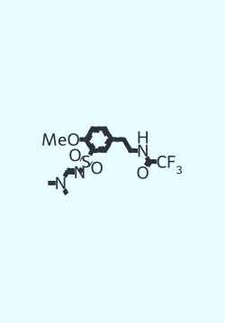 COc1ccc(CCNC(=O)C(F)(F)F)cc1S(=O)(=O)/N=C/N(C)C